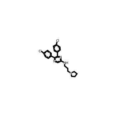 Clc1ccc(-c2ncc(NCCCN3CCCC3)nc2-c2ccc(Cl)cc2)cc1